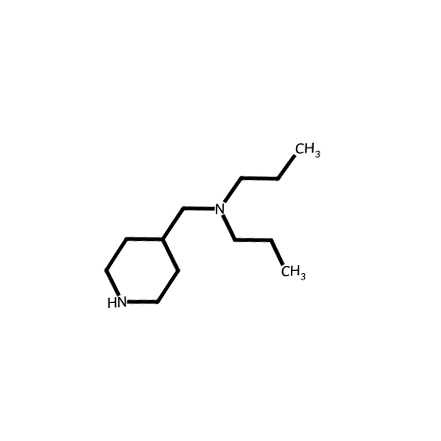 CCCN(CCC)CC1CCNCC1